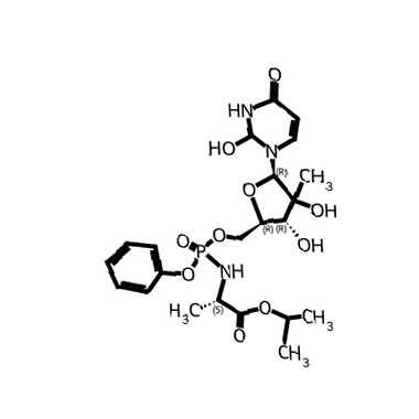 CC(C)OC(=O)[C@H](C)NP(=O)(OC[C@H]1O[C@@H](N2C=CC(=O)NC2O)C(C)(O)[C@@H]1O)Oc1ccccc1